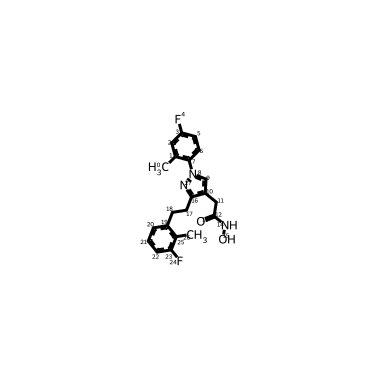 Cc1cc(F)ccc1-n1cc(CC(=O)NO)c(CCc2cccc(F)c2C)n1